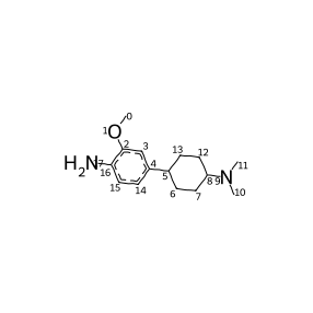 COc1cc(C2CCC(N(C)C)CC2)ccc1N